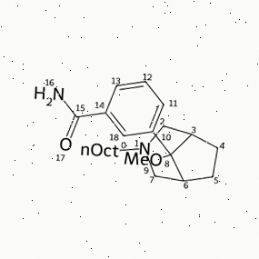 CCCCCCCCN1CC2CCC(C1)C2(OC)c1cccc(C(N)=O)c1